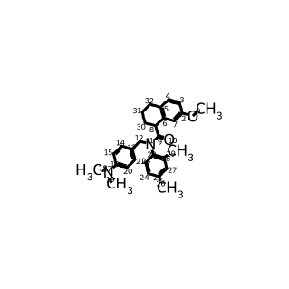 COc1ccc2c(c1)C(C(=O)N(Cc1ccc(N(C)C)cc1)c1ccc(C)cc1C)CCC2